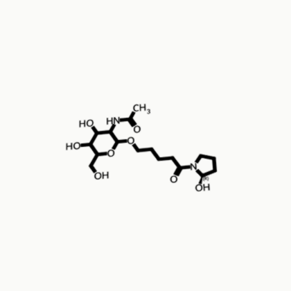 CC(=O)NC1C(OCCCCC(=O)N2CCC[C@H]2O)OC(CO)C(O)C1O